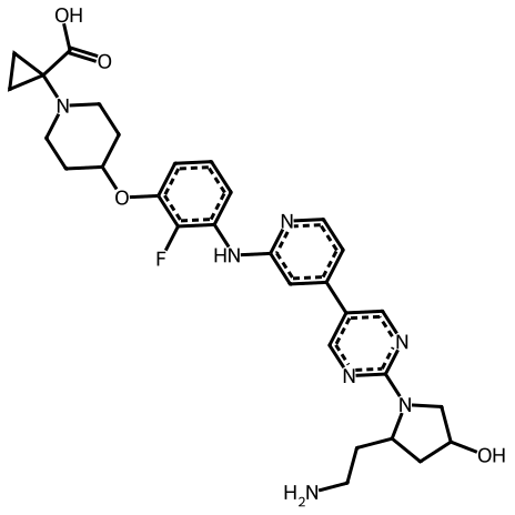 NCCC1CC(O)CN1c1ncc(-c2ccnc(Nc3cccc(OC4CCN(C5(C(=O)O)CC5)CC4)c3F)c2)cn1